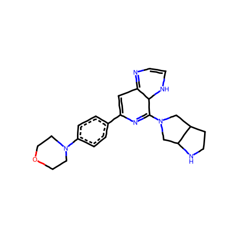 C1=CNC2C(=N1)C=C(c1ccc(N3CCOCC3)cc1)N=C2N1CC2CCNC2C1